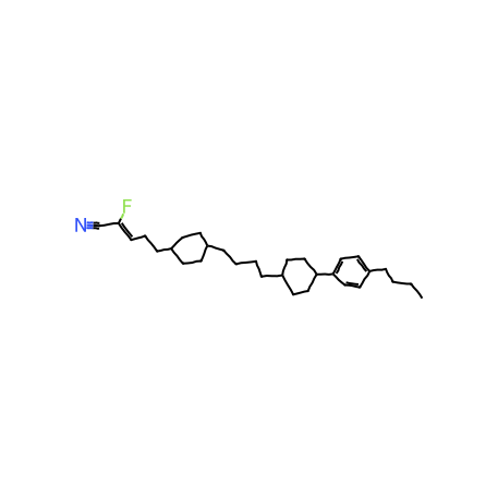 CCCCc1ccc(C2CCC(CCCCC3CCC(CCC=C(F)C#N)CC3)CC2)cc1